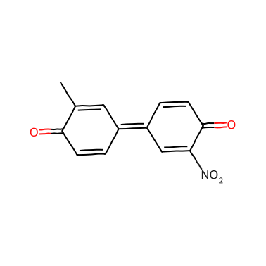 CC1=C/C(=C2\C=CC(=O)C([N+](=O)[O-])=C2)C=CC1=O